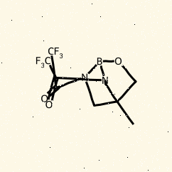 CC12COB(N(C(=O)C(F)(F)F)C1)N(C(=O)C(F)(F)F)C2